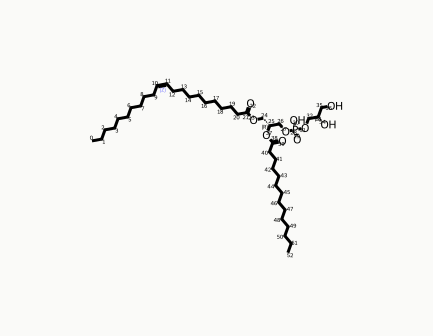 CCCCCCCCCC/C=C\CCCCCCCCCC(=O)OC[C@H](COP(=O)(O)OC[C@@H](O)CO)OC(=O)CCCCCCCCCCCCC